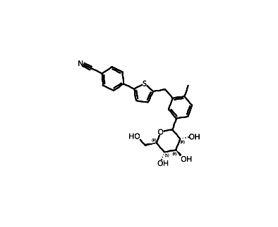 Cc1ccc(C2O[C@H](CO)[C@@H](O)[C@H](O)[C@H]2O)cc1Cc1ccc(-c2ccc(C#N)cc2)s1